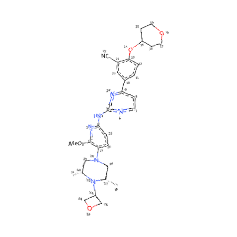 COc1nc(Nc2nccc(-c3ccc(OC4CCOCC4)c(C#N)c3)n2)ccc1N1C[C@@H](C)N(C2COC2)[C@@H](C)C1